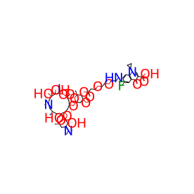 CO[C@]1(C)C[C@@H](O[C@H]2[C@H](C)[C@@H](OC3O[C@H](C)C[C@H](N(C)C)[C@H]3O)[C@](C)(O)C[C@@H](C)CN(C)[C@H](C)[C@@H](O)[C@](C)(O)[C@@H](I)OC(=O)[C@@H]2C)O[C@@H](C)[C@@H]1OC(=O)CCOCCOCCNc1cc2c(cc1F)c(=O)c(C(=O)O)cn2C1CC1